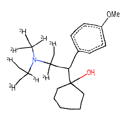 [2H]C([2H])([2H])N(C([2H])([2H])[2H])C([2H])([2H])C(c1ccc(OC)cc1)C1(O)CCCCC1